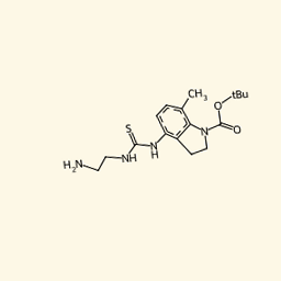 Cc1ccc(NC(=S)NCCN)c2c1N(C(=O)OC(C)(C)C)CC2